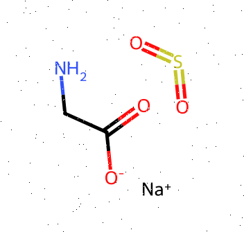 NCC(=O)[O-].O=S=O.[Na+]